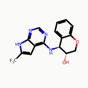 O[C@H]1COc2ccccc2[C@@H]1Nc1ncnc2[nH]c(C(F)(F)F)cc12